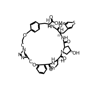 COC(=O)[C@@H]1Cc2ccc(cc2)OCCn2cc(nn2)COc2ccccc2C(=O)N[C@H](CC(C)C)C(=O)N2C[C@@H](O)CC2C(=O)N[C@@H](Cc2ccsc2)C(=O)N1